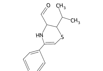 CC(C)C1SC=C(c2ccccc2)NC1C=O